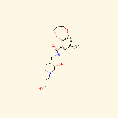 Cc1cc2c(c(C(=O)NC[C@@H]3CCN(CCCO)C[C@H]3O)c1)OCCCO2